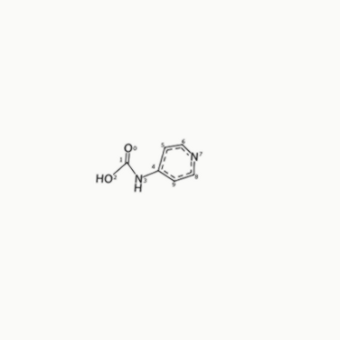 O=C(O)Nc1ccncc1